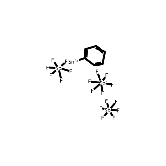 [F][Sb-]([F])([F])([F])([F])[F].[F][Sb-]([F])([F])([F])([F])[F].[F][Sb-]([F])([F])([F])([F])[F].[Sn+3][c]1ccccc1